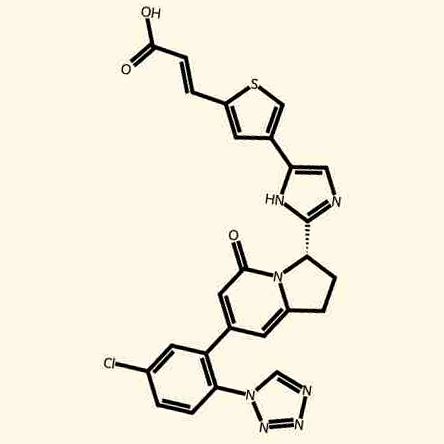 O=C(O)C=Cc1cc(-c2cnc([C@@H]3CCc4cc(-c5cc(Cl)ccc5-n5cnnn5)cc(=O)n43)[nH]2)cs1